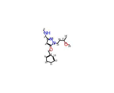 CNCc1cc(OCC2=CCCC=C2)n(CCC(C)OC)n1